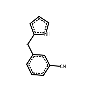 N#Cc1cccc([CH]c2ccc[nH]2)c1